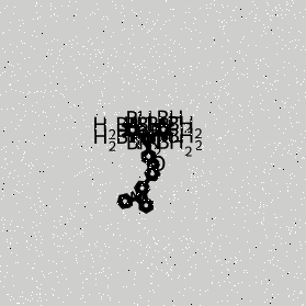 Bc1c(B)c(B)c(-c2nc(-c3ccc4c(c3)oc3ccc(-c5ccc6c(c5)c5ccccc5n6-c5ccccc5)cc34)nc(-c3c(B)c(B)c(B)c(B)c3B)n2)c(B)c1B